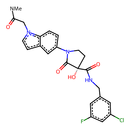 CNC(=O)Cn1ccc2cc(N3CC[C@@](O)(C(=O)NCc4cc(F)cc(Cl)c4)C3=O)ccc21